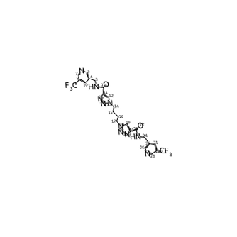 O=C(NCc1cncc(C(F)(F)F)c1)c1cn(CCCCn2cc(C(=O)NCc3cncc(C(F)(F)F)c3)nn2)nn1